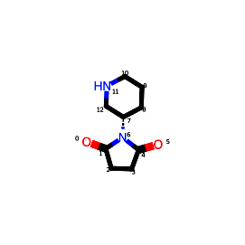 O=C1CCC(=O)N1[C@H]1CCCNC1